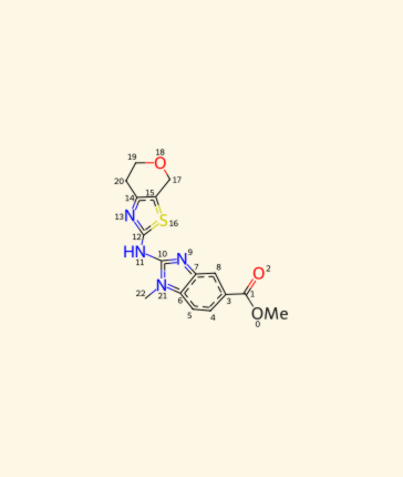 COC(=O)c1ccc2c(c1)nc(Nc1nc3c(s1)COCC3)n2C